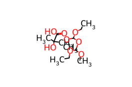 CC(C)(O)C(=O)O.CCOC(OC)OC(OC)OCC